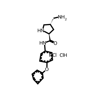 Cl.Cl.NC[C@H]1CN[C@H](C(=O)Nc2ccc(Oc3ccccc3)cc2)C1